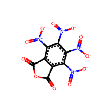 O=C1OC(=O)c2c1c([N+](=O)[O-])c([N+](=O)[O-])c([N+](=O)[O-])c2[N+](=O)[O-]